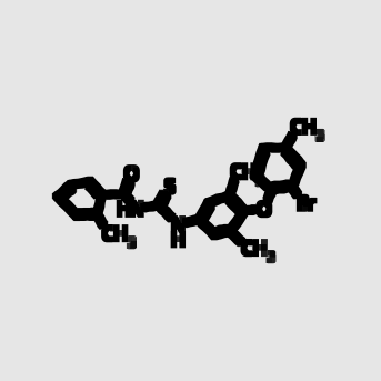 Cc1ccc(Oc2c(C)cc(NC(=S)NC(=O)c3ccccc3C)cc2C)c(Br)c1